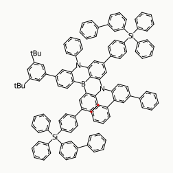 CC(C)(C)c1cc(-c2ccc3c(c2)N(c2ccccc2)c2cc(-c4ccc([Si](c5ccccc5)(c5ccccc5)c5cccc(-c6ccccc6)c5)cc4)cc4c2B3c2cc(-c3ccc([Si](c5ccccc5)(c5ccccc5)c5cccc(-c6ccccc6)c5)cc3)ccc2N4c2ccc(-c3ccccc3)cc2-c2ccccc2)cc(C(C)(C)C)c1